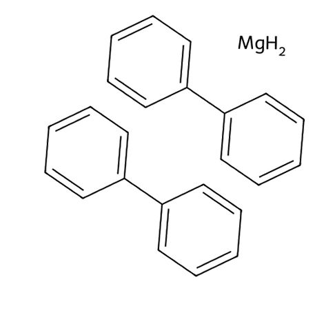 [MgH2].c1ccc(-c2ccccc2)cc1.c1ccc(-c2ccccc2)cc1